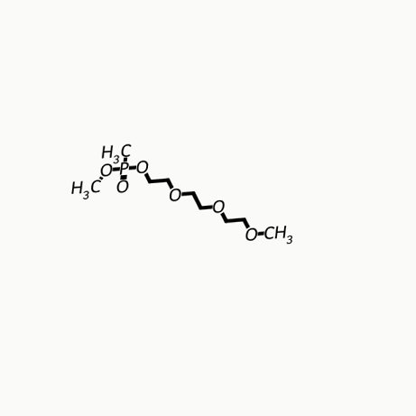 COCCOCCOCCOP(C)(=O)OC